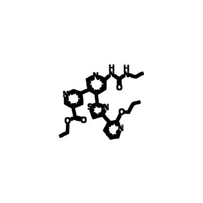 CCCOc1ncccc1-c1csc(-c2cc(NC(=O)NCC)ncc2-c2cncc(C(=O)OCC)c2)n1